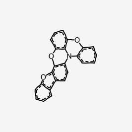 c1ccc2c(c1)Oc1cccc3c1N2c1ccc2c(oc4ccccc42)c1O3